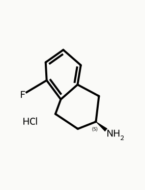 Cl.N[C@H]1CCc2c(F)cccc2C1